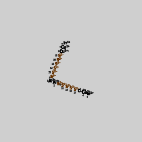 [Al+3].[Al+3].[Cu+2].[Cu+2].[Ga+3].[Ga+3].[In+3].[In+3].[S-2].[S-2].[S-2].[S-2].[S-2].[S-2].[S-2].[S-2].[S-2].[S-2].[S-2]